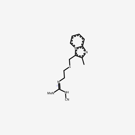 CN/C(=N/CCSCc1c(C)nc2ccccn12)NC#N